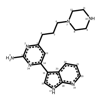 Nc1nc(CCCN2CCNCC2)cc(-c2c[nH]c3ncccc23)n1